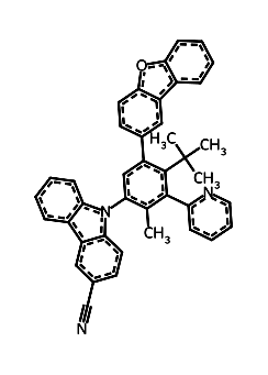 Cc1c(-n2c3ccccc3c3cc(C#N)ccc32)cc(-c2ccc3oc4ccccc4c3c2)c(C(C)(C)C)c1-c1ccccn1